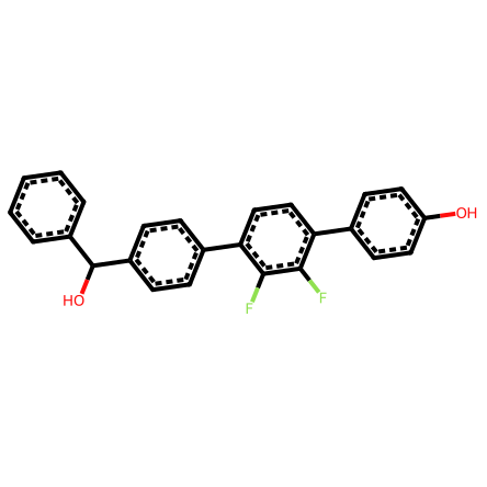 Oc1ccc(-c2ccc(-c3ccc(C(O)c4ccccc4)cc3)c(F)c2F)cc1